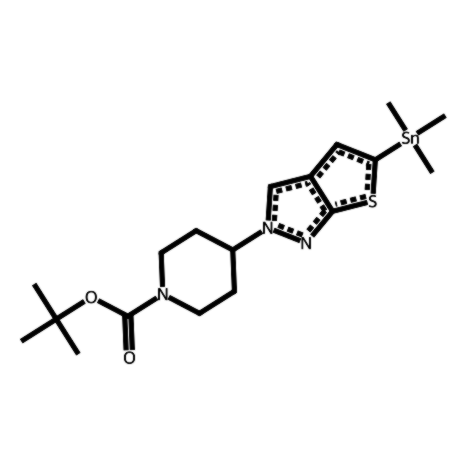 CC(C)(C)OC(=O)N1CCC(n2cc3c[c]([Sn]([CH3])([CH3])[CH3])sc3n2)CC1